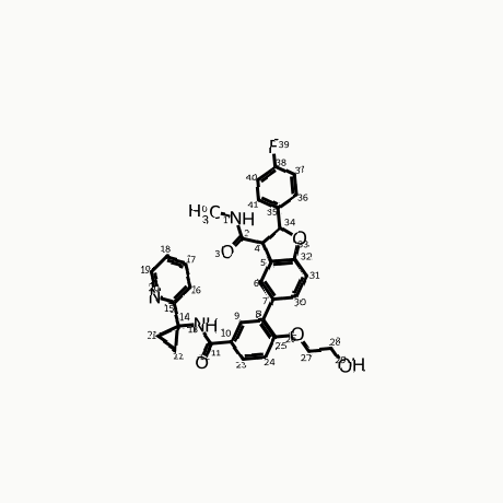 CNC(=O)C1c2cc(-c3cc(C(=O)NC4(c5ccccn5)CC4)ccc3OCCO)ccc2OC1c1ccc(F)cc1